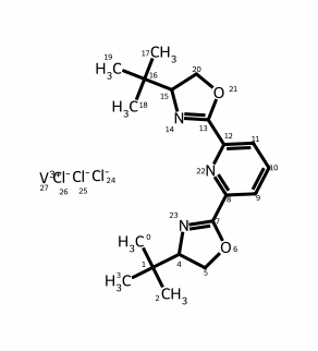 CC(C)(C)C1COC(c2cccc(C3=NC(C(C)(C)C)CO3)n2)=N1.[Cl-].[Cl-].[Cl-].[V+3]